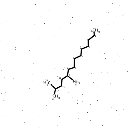 CCCCCCCCCC(N)CCC(C)C